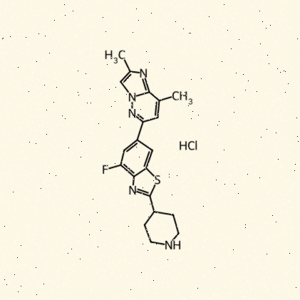 Cc1cn2nc(-c3cc(F)c4nc(C5CCNCC5)sc4c3)cc(C)c2n1.Cl